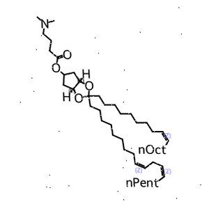 CCCCC/C=C\C/C=C\CCCCCCCCC1(CCCCCCCC/C=C\CCCCCCCC)O[C@H]2CC(OC(=O)CCCN(C)C)C[C@H]2O1